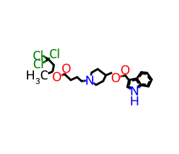 CC(CC(Cl)(Cl)Cl)OC(=O)CCCN1CCC(COC(=O)c2c[nH]c3ccccc23)CC1